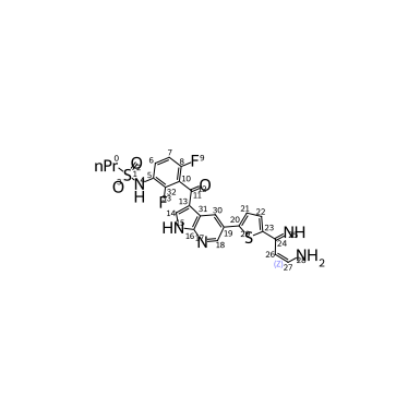 CCCS(=O)(=O)Nc1ccc(F)c(C(=O)c2c[nH]c3ncc(-c4ccc(C(=N)/C=C\N)s4)cc23)c1F